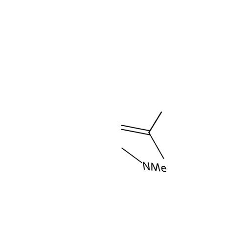 C=C(C)C.CNC